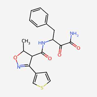 CC1ON=C(c2ccsc2)C1C(=O)NC(Cc1ccccc1)C(=O)C(N)=O